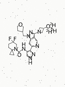 [2H]C([2H])([2H])OC1CN(c2nn(CC3CCOC3)c3cc(-c4n[nH]cc4NC(=O)N4CC(F)(F)CCC45CC5)ncc23)C1